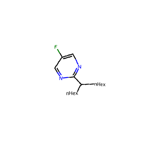 CCCCCCC(CCCCCC)c1ncc(F)cn1